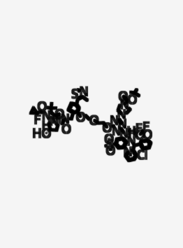 Cc1ncsc1-c1ccc(CNC(=O)[C@@H]2C[C@H](O)CN2C(=O)[C@@H](NC(=O)C2(F)CC2)C(C)(C)C)c(OCCOCCOc2nc(Nc3cc(S(C)(=O)=O)ccc3N[C@@H](c3cccc4c3OC(F)(F)O4)c3ncccc3Cl)nc(N3CCN(C(=O)OC(C)(C)C)CC3)n2)c1